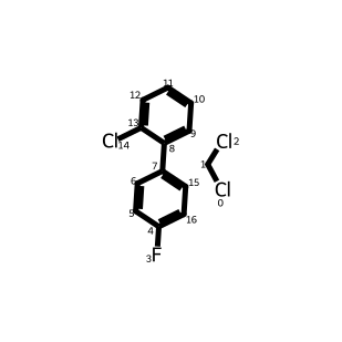 ClCCl.Fc1ccc(-c2ccccc2Cl)cc1